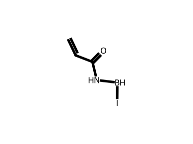 C=CC(=O)NBI